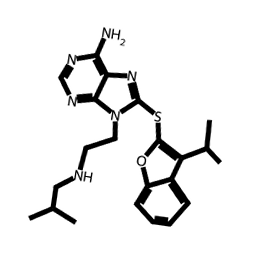 CC(C)CNCCn1c(Sc2oc3ccccc3c2C(C)C)nc2c(N)ncnc21